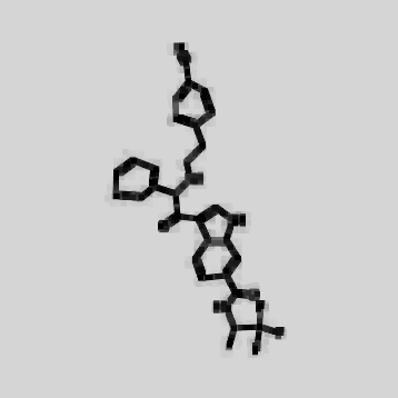 CC(NC(=O)c1ccc2c(C(=O)C(NCCc3ccc(C#N)cc3)c3ccccc3)c[nH]c2c1)C(F)(F)F